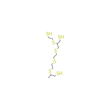 CC(CS)SCCSCCSCC(CS)SCCS